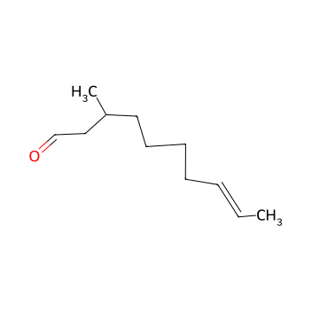 CC=CCCCCC(C)CC=O